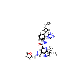 Cn1cnnc1[C@]1(c2cccc(NC(=O)c3cc(CNC[C@@H]4CCCO4)c4c(n3)C(C)(C)CN4)c2)C[C@H](CC#N)C1